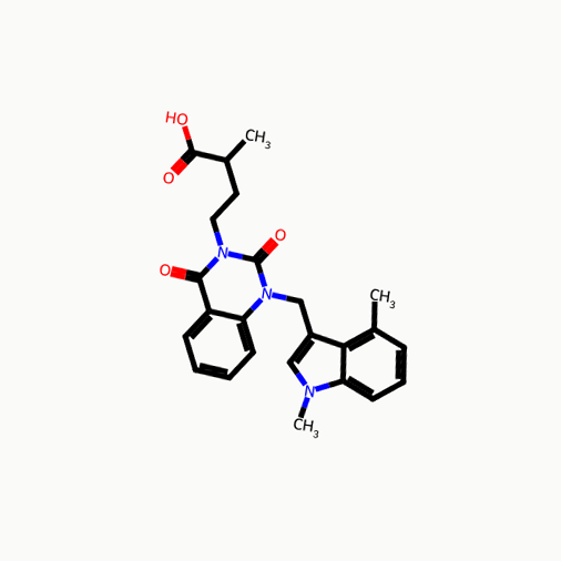 Cc1cccc2c1c(Cn1c(=O)n(CCC(C)C(=O)O)c(=O)c3ccccc31)cn2C